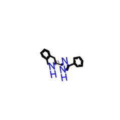 c1ccc(-c2c[nH]c([C@@H]3Cc4ccccc4CN3)n2)cc1